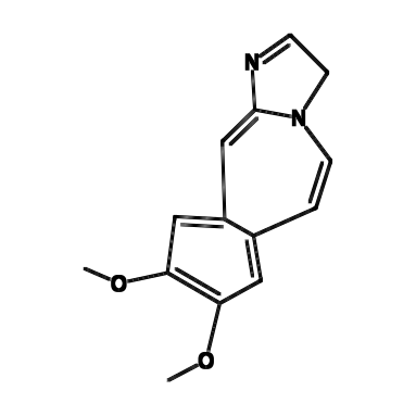 COc1cc2c(cc1OC)C=C1N=CCN1C=C2